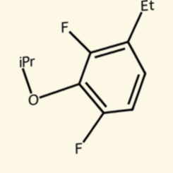 CCc1ccc(F)c(OC(C)C)c1F